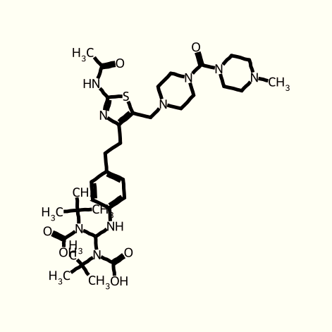 CC(=O)Nc1nc(CCc2ccc(NC(N(C(=O)O)C(C)(C)C)N(C(=O)O)C(C)(C)C)cc2)c(CN2CCN(C(=O)N3CCN(C)CC3)CC2)s1